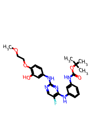 COCCOc1ccc(Nc2ncc(F)c(Nc3cccc(NC(=O)OC(C)(C)C)c3)n2)cc1O